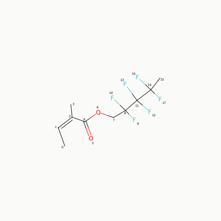 CC=C(C)C(=O)OCC(F)(F)C(F)(F)C(C)(F)F